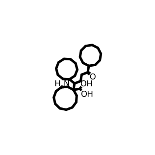 NC1(C(CCC(=O)C2CCCCCCCCC2)C2(C(O)O)CCCCCCCCCC2)CCCCCCCCC1